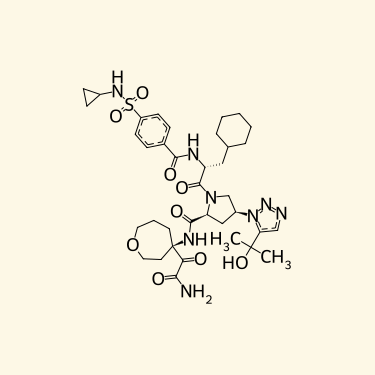 CC(C)(O)c1cnnn1[C@H]1C[C@@H](C(=O)N[C@]2(C(=O)C(N)=O)CCCOCC2)N(C(=O)[C@@H](CC2CCCCC2)NC(=O)c2ccc(S(=O)(=O)NC3CC3)cc2)C1